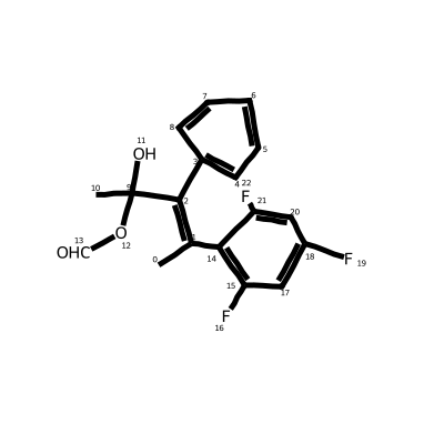 C/C(=C(/c1ccccc1)C(C)(O)OC=O)c1c(F)cc(F)cc1F